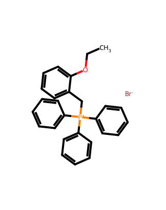 CCOc1ccccc1C[P+](c1ccccc1)(c1ccccc1)c1ccccc1.[Br-]